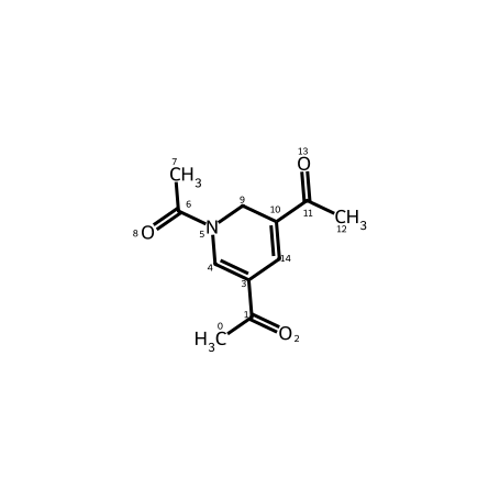 CC(=O)C1=CN(C(C)=O)CC(C(C)=O)=C1